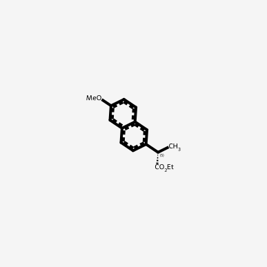 [CH2]COC(=O)[C@@H](C)c1ccc2cc(OC)ccc2c1